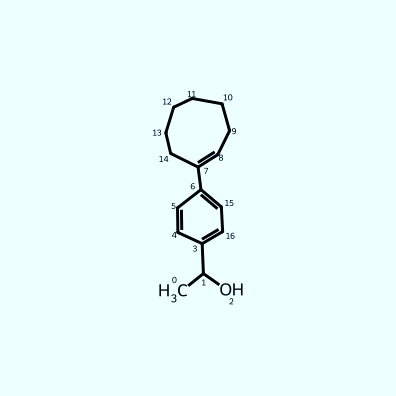 CC(O)c1ccc(C2=CCCCCCC2)cc1